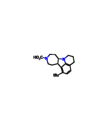 CC(C)(C)c1ccc2c3c1C1CCN(C(=O)O)CCC1N3CCC2